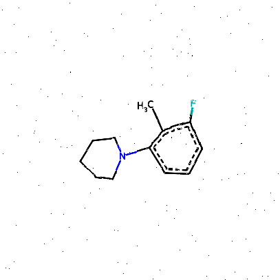 Cc1c(F)cccc1N1CCCCC1